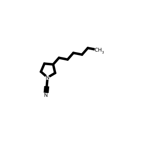 CCCCCCC1CCN(C#N)C1